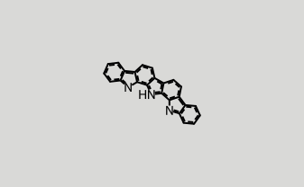 c1ccc2c(c1)=Nc1c=2ccc2c1[nH]c1c3c(ccc12)=c1ccccc1=N3